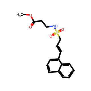 COC(=O)CCNS(=O)(=O)CC=Cc1cccc2ccccc12